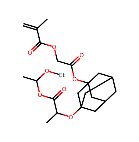 C=C(C)C(=O)OCC(=O)OC12CC3CC(C1)CC(OC(C)C(=O)OC(C)OCC)(C3)C2